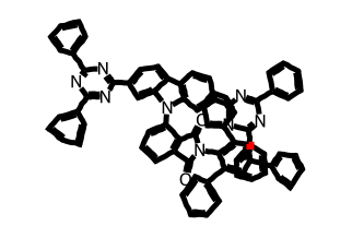 O=C1c2cccc(-n3c4cc(-c5nc(-c6ccccc6)nc(-c6ccccc6)n5)ccc4c4ccc(-c5nc(-c6ccccc6)nc(-c6ccccc6)n5)cc43)c2C(=O)N1c1c(-c2ccccc2)cc(-c2ccccc2)cc1-c1ccccc1